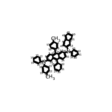 Cc1ccc(-c2c3ccc(N(c4ccccc4)c4ccc(C)cc4)cc3c(-c3ccccc3)c3ccc(N(c4ccccc4)c4ccc5ccccc5c4)cc23)cc1